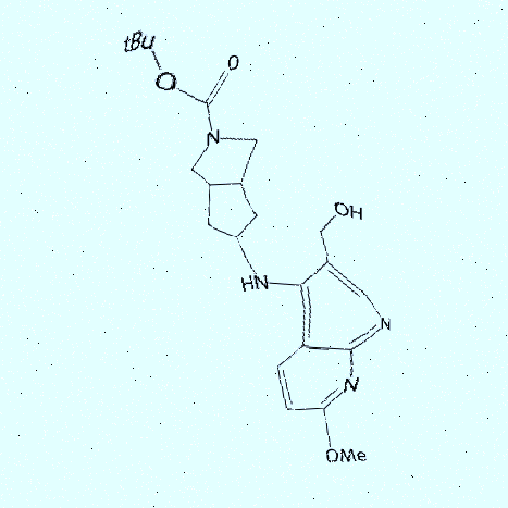 COc1ccc2c(NC3CC4CN(C(=O)OC(C)(C)C)CC4C3)c(CO)cnc2n1